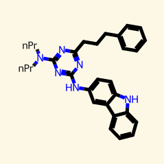 CCCN(CCC)c1nc(CCCc2ccccc2)nc(Nc2ccc3[nH]c4ccccc4c3c2)n1